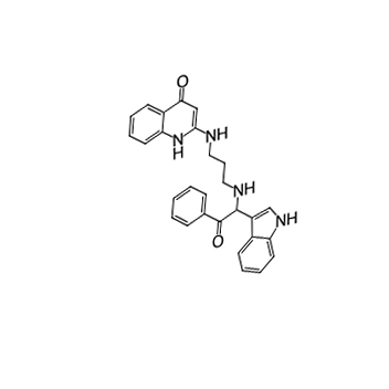 O=C(c1ccccc1)C(NCCCNc1cc(=O)c2ccccc2[nH]1)c1c[nH]c2ccccc12